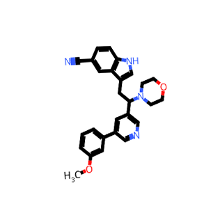 COc1cccc(-c2cncc(C(Cc3c[nH]c4ccc(C#N)cc34)N3CCOCC3)c2)c1